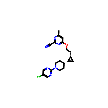 Cc1cc(OCC[C@@H]2C[C@@H]2C2CCN(c3ncc(Cl)cn3)CC2)nc(C#N)n1